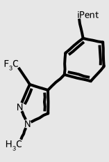 CCCC(C)c1cccc(-c2cn(C)nc2C(F)(F)F)c1